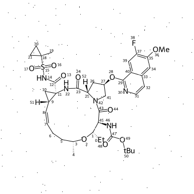 CC[C@@H]1O[C@H](C)CC/C=C\[C@@H]2C[C@@]2(C(=O)NS(=O)(=O)C2(C)CC2)NC(=O)[C@@H]2C[C@@H](Oc3nccc4cc(OC)c(F)cc34)CN2C(=O)[C@H]1NC(=O)OC(C)(C)C